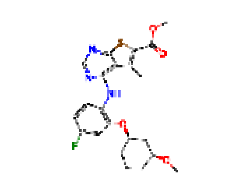 COC(=O)c1sc2ncnc(Nc3ccc(F)cc3O[C@@H]3CCC[C@H](OC)C3)c2c1C